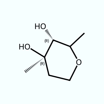 CC1OCC[C@@](C)(O)[C@@H]1O